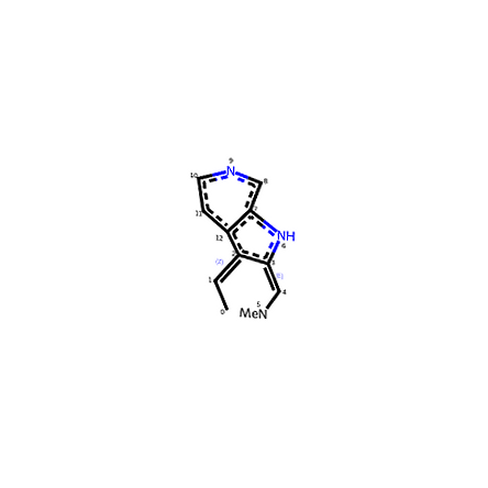 C/C=c1\c(=C/NC)[nH]c2cnccc12